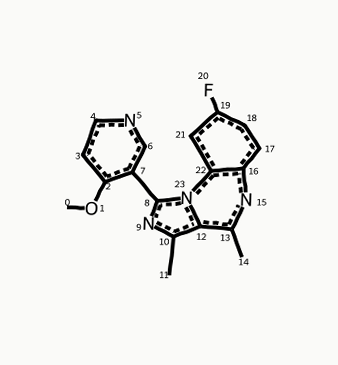 COc1ccncc1-c1nc(C)c2c(C)nc3ccc(F)cc3n12